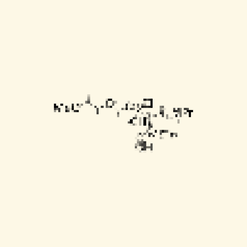 COCCOCOC(C)(C)c1cc(C(C)C)ccc1OO